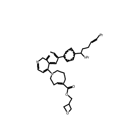 C=C1CN=CC=C(N2CC/C=C(\C(=O)OCC3COC3)CCC2)/C1=C/C(=C\C)c1ccc(C(CCC)CC/C=C/C(C)C)cc1